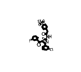 CCS(=O)(=O)c1ccc(CC(=O)Nc2nc(-c3cccc(Cl)c3)c(C(=O)c3cccc(F)c3)s2)cc1